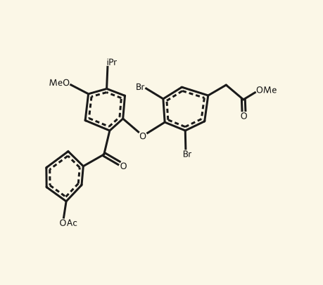 COC(=O)Cc1cc(Br)c(Oc2cc(C(C)C)c(OC)cc2C(=O)c2cccc(OC(C)=O)c2)c(Br)c1